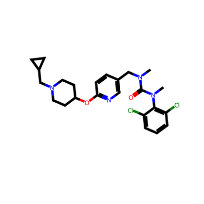 CN(Cc1ccc(OC2CCN(CC3CC3)CC2)nc1)C(=O)N(C)c1c(Cl)cccc1Cl